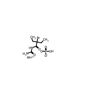 CCC(Br)(CC)C(=O)NC(N)=O.O=P([O-])([O-])O.[Mn+2]